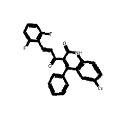 O=C(C=Cc1c(F)cccc1F)c1c(-c2ccccc2)c2cc(Cl)ccc2[nH]c1=O